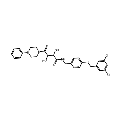 O=C(NCc1ccc(OCc2cc(Cl)cc(Cl)c2)cc1)[C@H](O)[C@@H](O)C(=O)N1CCN(c2ccccc2)CC1